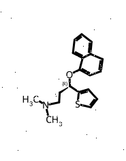 CN(C)CC[C@@H](Oc1cccc2ccccc12)c1cccs1